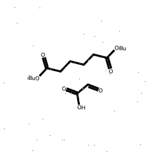 CC(C)COC(=O)CCCCC(=O)OCC(C)C.O=CC(=O)O